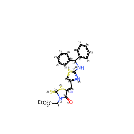 CCOC(=O)CN1C(=O)/C(=C/c2csc(NC(c3ccccc3)c3ccccc3)n2)SC1=S